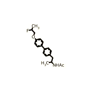 CC(=O)NC(C)Cc1ccc(-c2ccc(OCC(C)F)cc2)cc1